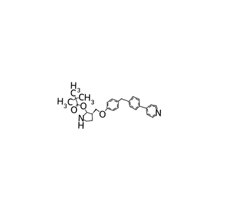 CC(C)(C)C(=O)OC1NCC[C@@H]1COc1ccc(Cc2ccc(-c3ccncc3)cc2)cc1